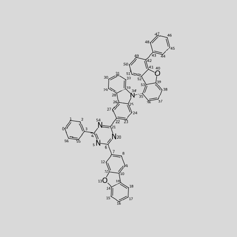 c1ccc(-c2nc(-c3ccc4c(c3)oc3ccccc34)nc(-c3ccc4c(c3)c3ccccc3n4-c3cccc4oc5c(-c6ccccc6)cccc5c34)n2)cc1